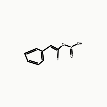 O=S(O)OC(F)=Cc1ccccc1